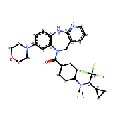 CN(C1CCC(C(=O)N2Cc3cccnc3Nc3ccc(N4CCOCC4)cc32)CC1)C(C1CC1)C(F)(F)F